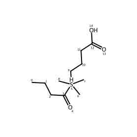 CCCC(=O)[SH](C)(C)(C)CCCC(=O)O